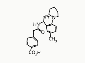 CCCC(NC(=O)Cc1ccc(C(=O)O)cc1)c1cc(C)ccc1N1CCCCC1